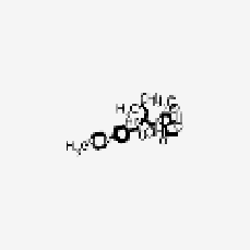 CO[C@H]1CN(C(=O)C(CC(C)C)NC(=O)c2ccc(N3CCN(C)CC3)cc2)[C@@H]2C(=O)CO[C@H]12